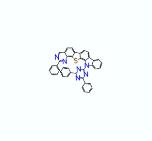 c1ccc(-c2nc(-c3ccccc3)nc(-n3c4ccccc4c4ccc5c6ccc7cnc(-c8ccccc8)nc7c6sc5c43)n2)cc1